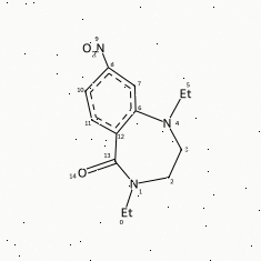 CCN1CCN(CC)c2cc([N+](=O)[O-])ccc2C1=O